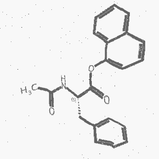 CC(=O)N[C@@H](Cc1ccccc1)C(=O)Oc1cccc2ccccc12